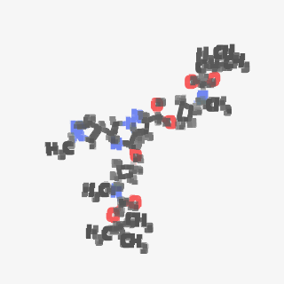 Cn1cc(-c2cn3nc(C(=O)O[C@H]4C[C@@H](N(C)C(=O)OC(C)(C)C)C4)cc3c(O[C@H]3C[C@@H](N(C)C(=O)OC(C)(C)C)C3)n2)cn1